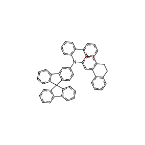 c1ccc(-c2ccccc2N(c2ccc3c(c2)-c2ccccc2CC3)c2ccc3c(c2)-c2ccccc2C32c3ccccc3-c3ccccc32)cc1